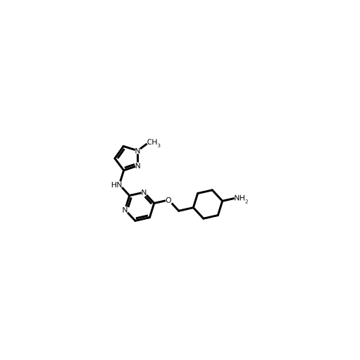 Cn1ccc(Nc2nccc(OCC3CCC(N)CC3)n2)n1